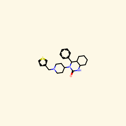 O=C1NC2CCCCC2C(c2ccccc2)N1C1CCN(Cc2ccsc2)CC1